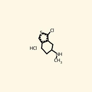 CNC1CCc2csc(Cl)c2C1.Cl